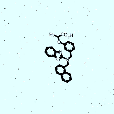 CCC(Oc1cccc(CN(Cc2cccc3ccccc23)c2nc3ccccc3o2)c1)C(=O)O